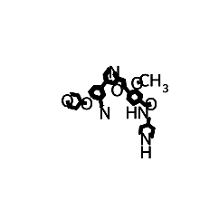 COc1cc(C(=O)NCC2CCNCC2)ccc1-c1cc2nccc(-c3ccc(OC4CCOCC4)c(C#N)c3)c2o1